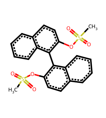 CS(=O)(=O)Oc1ccc2ccccc2c1-c1c(OS(C)(=O)=O)ccc2ccccc12